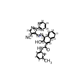 Cc1cccc(NC(=O)c2cc3ccccc3c(/N=N/c3c(C#N)cnn3-c3ncccn3)c2O)n1